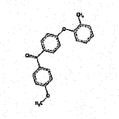 COc1ccc(C(=O)c2ccc(Oc3ccccc3C)cc2)cc1